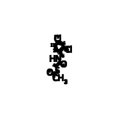 CC(=O)SCC(=O)NCc1ccc(Cl)cc1Cl